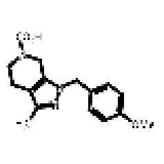 COc1ccc(Cn2nc(C(F)(F)F)c3c2CN(C(=O)O)CC3)cc1